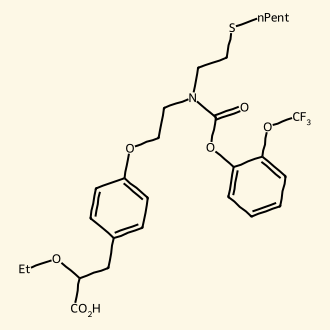 CCCCCSCCN(CCOc1ccc(CC(OCC)C(=O)O)cc1)C(=O)Oc1ccccc1OC(F)(F)F